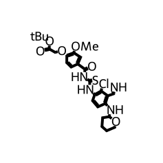 COc1cc(C(=O)NC(=S)Nc2ccc(NC3CCCCO3)c(C=N)c2Cl)ccc1OCC(=O)OC(C)(C)C